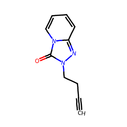 C#CCCn1nc2ccccn2c1=O